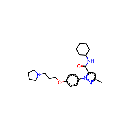 Cc1cc(C(=O)NC2CCCCC2)n(-c2ccc(OCCCN3CCCC3)cc2)n1